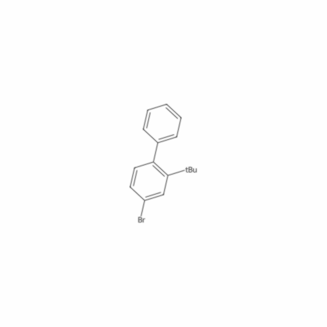 CC(C)(C)c1cc(Br)ccc1-c1ccccc1